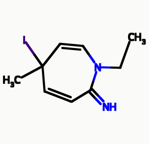 CCN1C=CC(C)(I)C=CC1=N